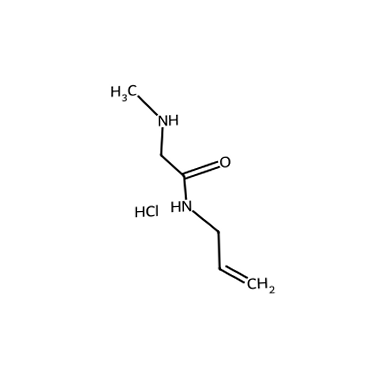 C=CCNC(=O)CNC.Cl